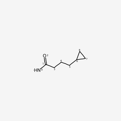 [NH]C(=O)CCCC1CC1